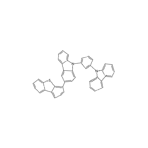 c1cc(-n2c3ccccc3c3ccccc32)cc(-n2c3ccccc3c3cc(-c4cccc5c4sc4ccccc45)ccc32)c1